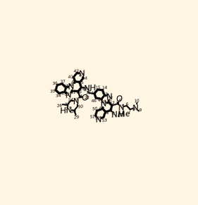 CNc1c(C(=O)NCCN(C)C)c2nc3ccc(CNc4c(C(=O)N5CC(C)NC(C)C5)c5nc6ccccc6n5c5ccncc45)cc3n2c2ccncc12